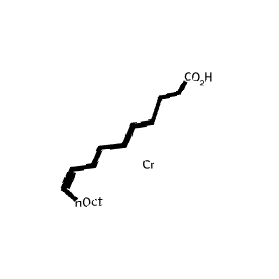 CCCCCCCC/C=C\CCCCCCCC(=O)O.[Cr]